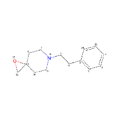 c1ccc(CCN2CCC3(CC2)CO3)cc1